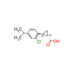 CC(C)c1ccc([C@H]2C[C@@H]2C(=O)O)c(Cl)c1